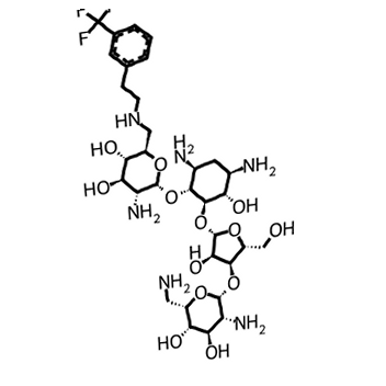 NC[C@@H]1O[C@H](O[C@H]2[C@@H](O)[C@H](O[C@@H]3[C@@H](O)[C@H](N)C[C@H](N)[C@H]3O[C@H]3O[C@H](CNCCc4cccc(C(F)(F)F)c4)[C@@H](O)[C@H](O)[C@H]3N)O[C@@H]2CO)[C@H](N)[C@@H](O)[C@@H]1O